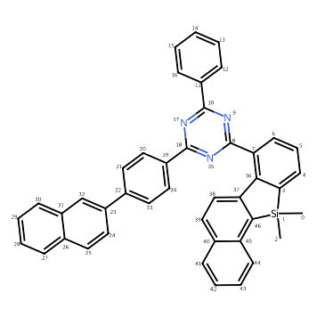 C[Si]1(C)c2cccc(-c3nc(-c4ccccc4)nc(-c4ccc(-c5ccc6ccccc6c5)cc4)n3)c2-c2ccc3ccccc3c21